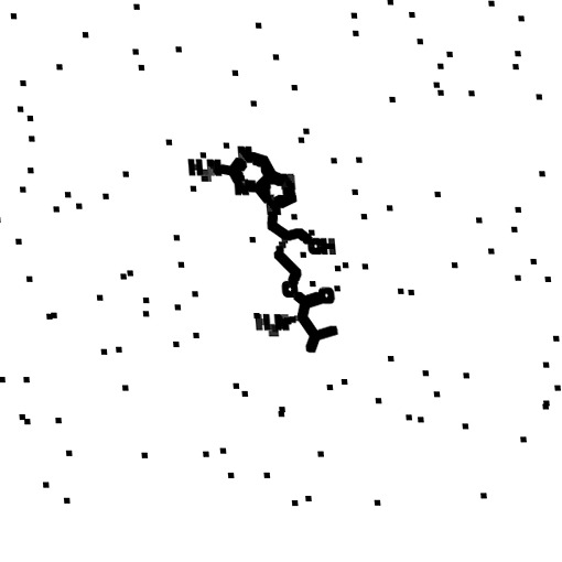 CC(C)[C@H](N)C(=O)OCC[C@@H](CO)Cn1cnc2cnc(N)nc21